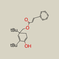 CC(C)(C)C1=CC(COC(=O)C=Cc2ccccc2)(C(C)(C)C)CC=C1O